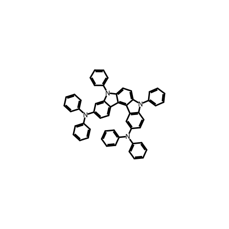 c1ccc(N(c2ccccc2)c2ccc3c(c2)c2c4c5ccc(N(c6ccccc6)c6ccccc6)cc5n(-c5ccccc5)c4ccc2n3-c2ccccc2)cc1